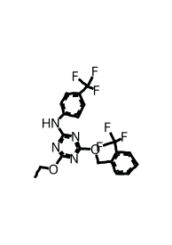 CCOc1nc(Nc2ccc(C(F)(F)F)cc2)nc(OCc2ccccc2C(F)(F)F)n1